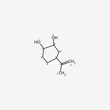 C=C(C)C1CCC(O)C(O)C1